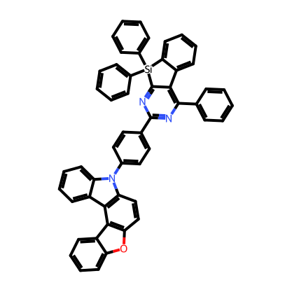 c1ccc(-c2nc(-c3ccc(-n4c5ccccc5c5c6c(ccc54)oc4ccccc46)cc3)nc3c2-c2ccccc2[Si]3(c2ccccc2)c2ccccc2)cc1